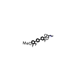 C/C=C/C1COC(c2ccc(-c3ccc(-c4ccc(OC)c(F)c4F)cc3)cc2F)OC1